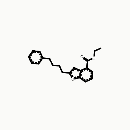 CCOC(=O)c1cccc2oc(CCCCc3ccccc3)cc12